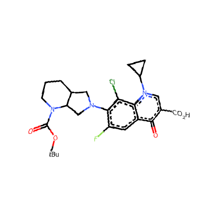 CC(C)(C)OC(=O)N1CCCC2CN(c3c(F)cc4c(=O)c(C(=O)O)cn(C5CC5)c4c3Cl)CC21